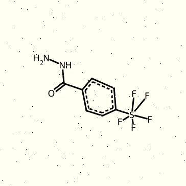 NNC(=O)c1ccc(S(F)(F)(F)(F)F)cc1